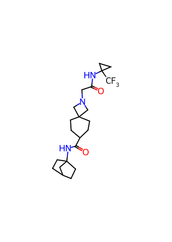 O=C(CN1CC2(CCC(C(=O)NC34CCC(CC3)C4)CC2)C1)NC1(C(F)(F)F)CC1